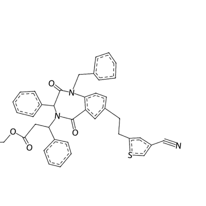 CCOC(=O)CC(c1ccccc1)N1C(=O)c2cc(CCc3cc(C#N)cs3)ccc2N(Cc2ccccc2)C(=O)C1c1ccccc1